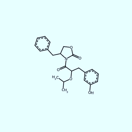 CC(C)OC(Cc1cccc(O)c1)C(=O)N1C(=O)OCC1Cc1ccccc1